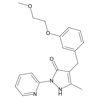 COCCOc1cccc(Cc2c(C)[nH]n(-c3ccccn3)c2=O)c1